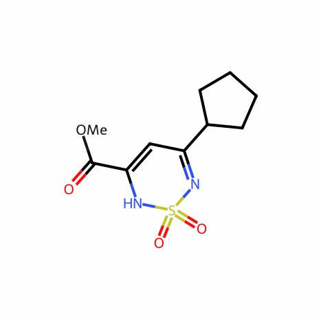 COC(=O)C1=CC(C2CCCC2)=NS(=O)(=O)N1